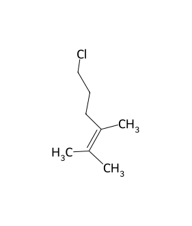 CC(C)=C(C)CCCCl